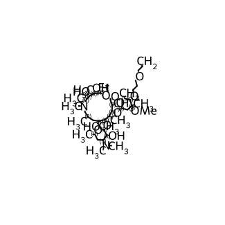 C=CCOCCCO[C@H]1[C@H](C)O[C@@H](O[C@H]2[C@H](C)[C@@H](O[C@@H]3O[C@H](C)C[C@H](N(C)C)[C@H]3O)[C@](C)(O)C[C@@H](C)CN(C)[C@H](C)[C@@H](O)[C@](C)(O)[C@@H](CC)OC(=O)[C@@H]2C)C[C@@]1(C)OC